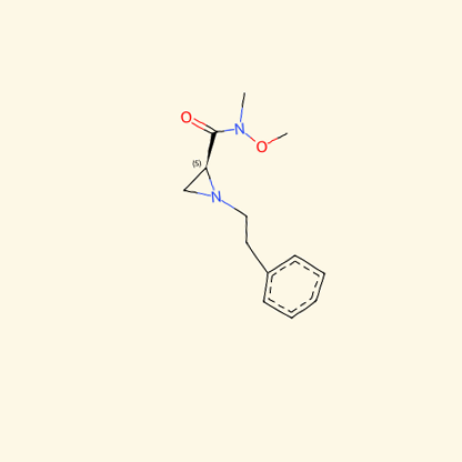 CON(C)C(=O)[C@@H]1CN1CCc1ccccc1